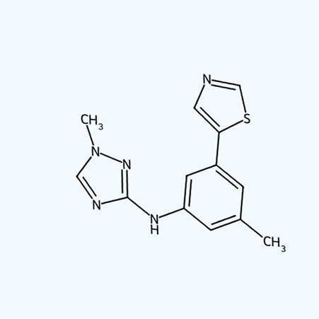 Cc1cc(Nc2ncn(C)n2)cc(-c2cncs2)c1